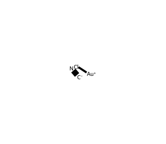 [C-]#N.[Cl][Au+]